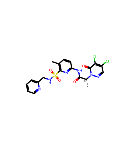 Cc1ccc(NC(=O)[C@@H](C)n2ncc(Cl)c(Cl)c2=O)nc1S(=O)(=O)NCc1ccccn1